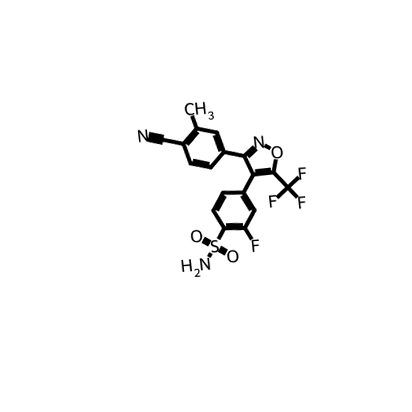 Cc1cc(-c2noc(C(F)(F)F)c2-c2ccc(S(N)(=O)=O)c(F)c2)ccc1C#N